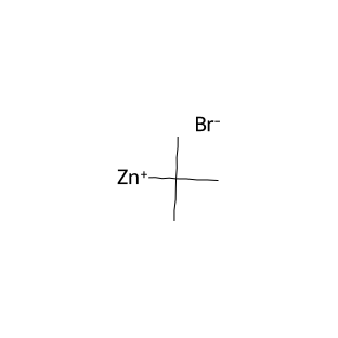 C[C](C)(C)[Zn+].[Br-]